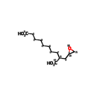 O=C(O)CCCCCCCC(CC1CO1)C(=O)O